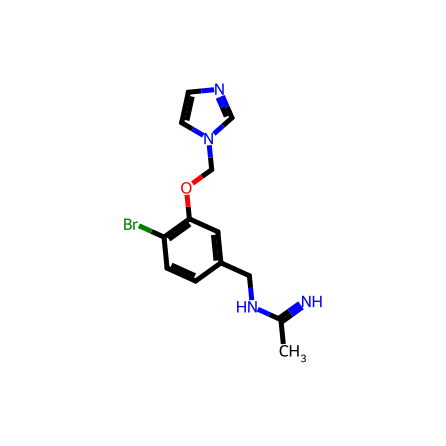 CC(=N)NCc1ccc(Br)c(OCn2ccnc2)c1